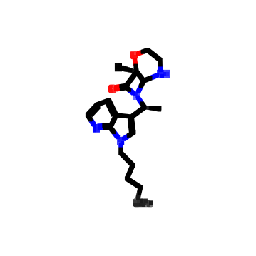 COCCCCn1cc([C@H](C)N2C(=O)[C@@H]3OCCNC32)c2cccnc21